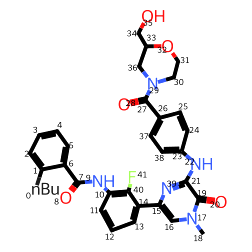 CCCCc1ccccc1C(=O)Nc1cccc(-c2cn(C)c(=O)c(Nc3ccc(C(=O)N4CCOC(CO)C4)cc3)n2)c1F